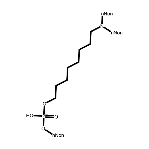 CCCCCCCCCOP(=O)(O)OCCCCCCCCN(CCCCCCCCC)CCCCCCCCC